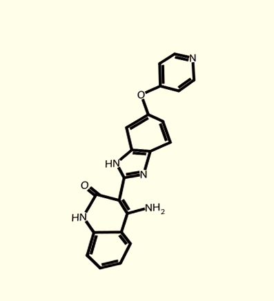 Nc1c(-c2nc3ccc(Oc4ccncc4)cc3[nH]2)c(=O)[nH]c2ccccc12